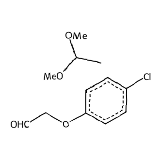 COC(C)OC.O=CCOc1ccc(Cl)cc1